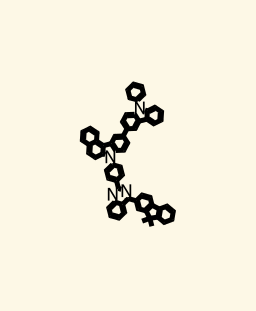 CC1(C)C2=C(C=CCC2)c2ccc(-c3nc(-c4ccc(N5c6ccc(-c7ccc8c(c7)c7ccccc7n8C7=CC=CCC7)cc6C6=c7ccccc7=CCC65)cc4)nc4ccccc34)cc21